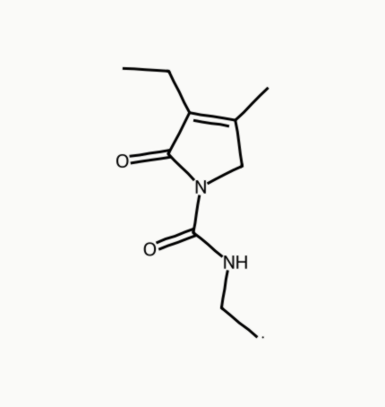 [CH2]CNC(=O)N1CC(C)=C(CC)C1=O